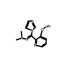 CCCOc1cccnc1/C(=N/N(C)C)n1ccnc1